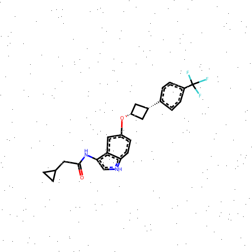 O=C(CC1CC1)Nc1c[nH]c2ccc(O[C@H]3C[C@@H](c4ccc(C(F)(F)F)cc4)C3)cc12